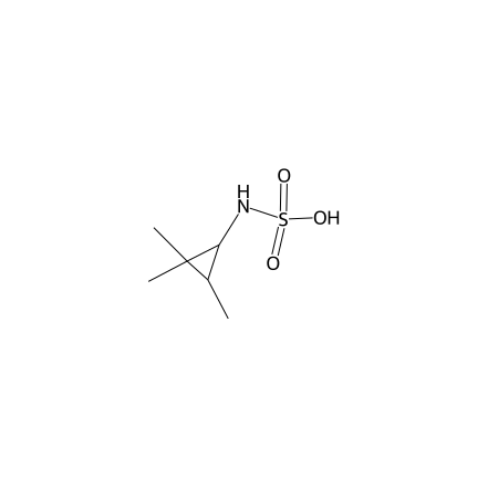 CC1C(NS(=O)(=O)O)C1(C)C